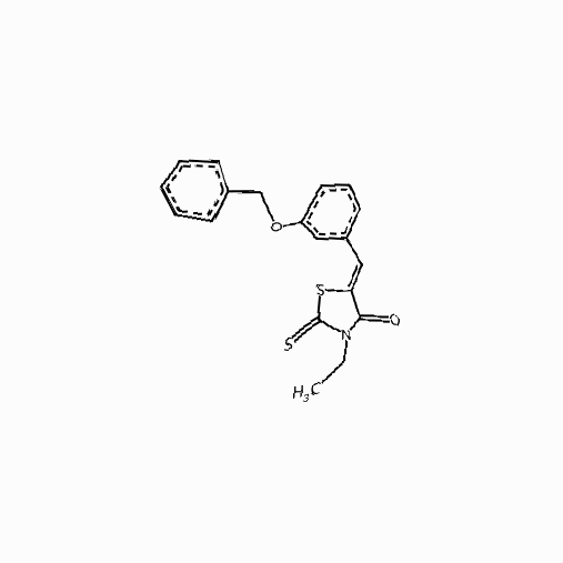 CCN1C(=O)C(=Cc2cccc(OCc3ccccc3)c2)SC1=S